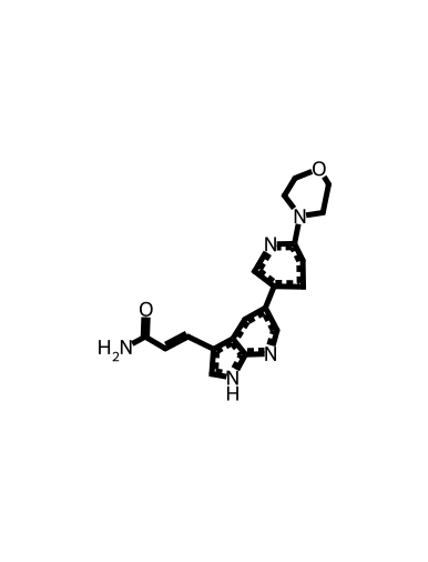 NC(=O)C=Cc1c[nH]c2ncc(-c3ccc(N4CCOCC4)nc3)cc12